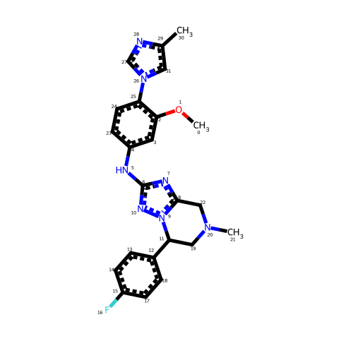 COc1cc(Nc2nc3n(n2)C(c2ccc(F)cc2)CN(C)C3)ccc1-n1cnc(C)c1